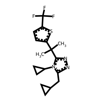 CC(C)(c1ccc(C(F)(F)F)s1)c1nnc(CC2CC2)n1C1CC1